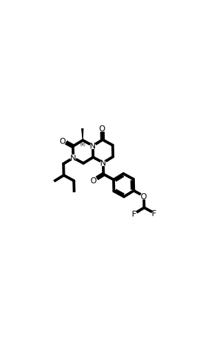 CCC(C)CN1CC2N(C(=O)c3ccc(OC(F)F)cc3)CCC(=O)N2[C@H](C)C1=O